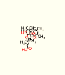 C=C(CC(C)(C)C)C(=O)O.CC(=CC(C)(C)C)C(=O)O.CC(C)(C)C=CC(=O)O